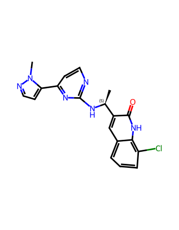 C[C@H](Nc1nccc(-c2ccnn2C)n1)c1cc2cccc(Cl)c2[nH]c1=O